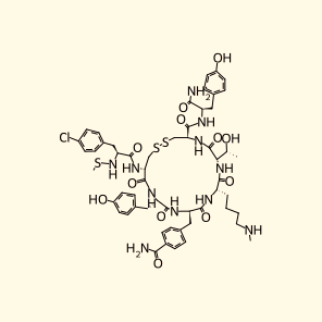 CNCCCC[C@@H]1NC(=O)[C@@H](Cc2ccc(C(N)=O)cc2)NC(=O)[C@H](Cc2ccc(O)cc2)NC(=O)[C@H](NC(=O)[C@H](Cc2ccc(Cl)cc2)NSC)CSSC[C@@H](C(=O)N[C@H](Cc2ccc(O)cc2)C(N)=O)NC(=O)[C@H]([C@@H](C)O)NC1=O